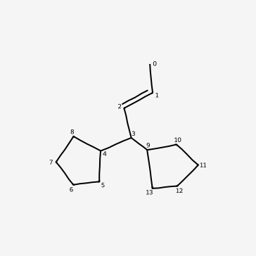 CC=CC(C1CCCC1)C1CCCC1